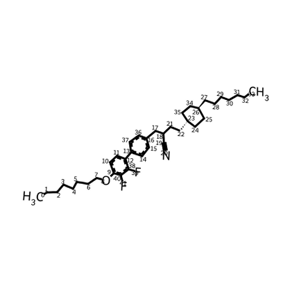 CCCCCCCCOc1ccc(-c2ccc(CC(C#N)CC[C@H]3CC[C@H](CCCCCCC)CC3)cc2)c(F)c1F